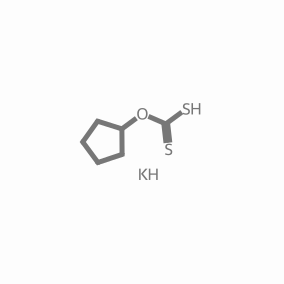 S=C(S)OC1CCCC1.[KH]